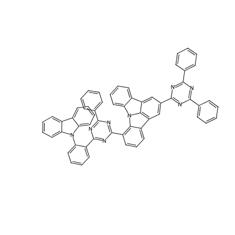 c1ccc(-c2nc(-c3ccccc3)nc(-c3cc4c5ccccc5n5c6c(-c7nc(-c8ccccc8)nc(-c8ccccc8-n8c9ccccc9c9ccccc98)n7)cccc6c(c3)c45)n2)cc1